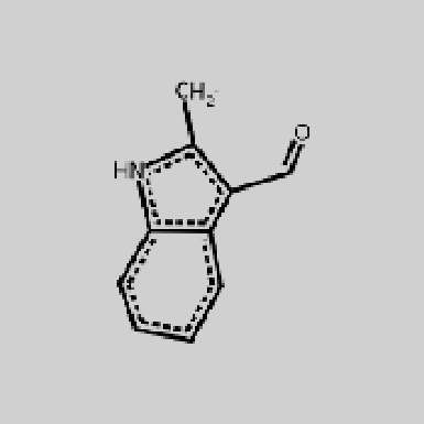 [CH2]c1[nH]c2ccccc2c1C=O